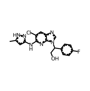 Cc1cc(Nc2nc3c(cc2Cl)ncn3C(CO)c2ccc(F)cc2)n[nH]1